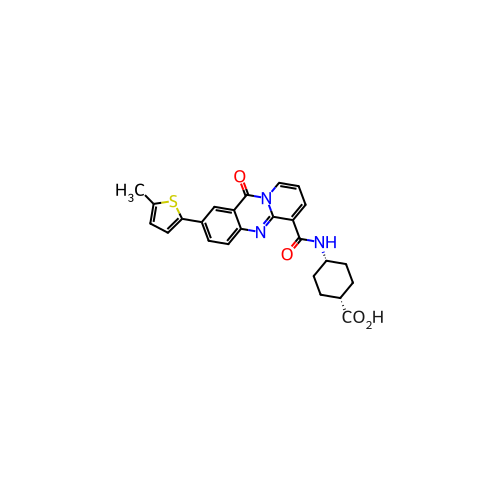 Cc1ccc(-c2ccc3nc4c(C(=O)N[C@H]5CC[C@@H](C(=O)O)CC5)cccn4c(=O)c3c2)s1